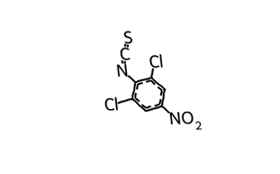 O=[N+]([O-])c1cc(Cl)c(N=C=S)c(Cl)c1